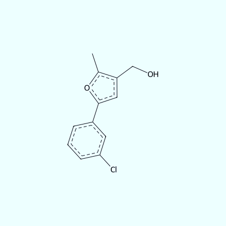 Cc1oc(-c2cccc(Cl)c2)cc1CO